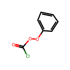 O=C(Cl)OOc1ccccc1